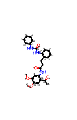 COc1cc(NC(=O)CCc2ccccc2NC(=O)Nc2ccccc2)c(C(C)=O)cc1OC